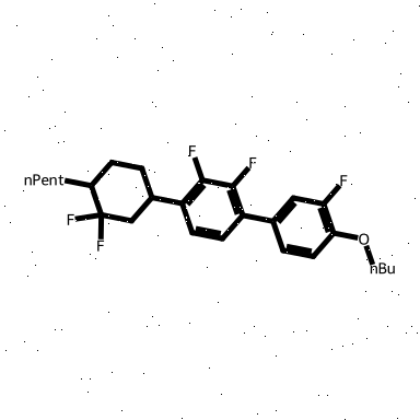 CCCCCC1CCC(c2ccc(-c3ccc(OCCCC)c(F)c3)c(F)c2F)CC1(F)F